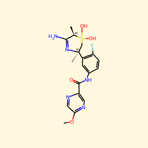 COc1cnc(C(=O)Nc2ccc(F)c([C@]3(C)CS(O)(O)[C@H](C)C(N)=N3)c2)cn1